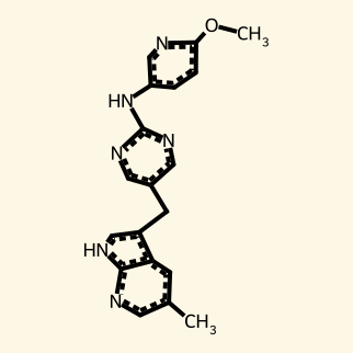 COc1ccc(Nc2ncc(Cc3c[nH]c4ncc(C)cc34)cn2)cn1